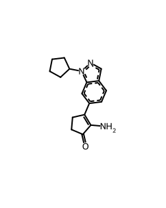 NC1=C(c2ccc3cnn(C4CCCC4)c3c2)CCC1=O